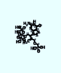 C=C(COCP(=O)(O)O)C(COP(=O)(OP(=O)(O)O)P(=O)(O)O)n1cnc2c(=O)[nH]c(N)nc21